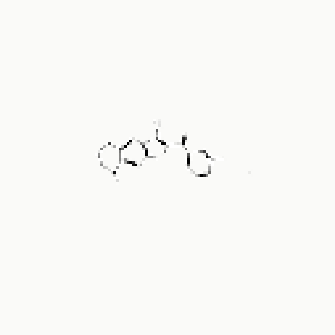 COc1cccc(C(=O)c2oc3cc4c(cc3c2N)CCCC4C)c1